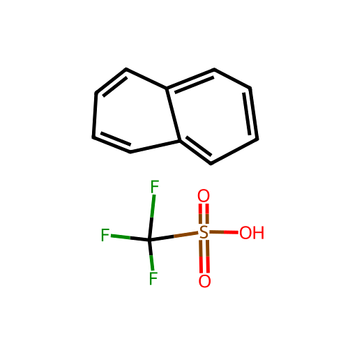 O=S(=O)(O)C(F)(F)F.c1ccc2ccccc2c1